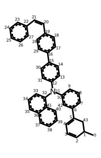 CC1C=CC=C(c2cccc(N(c3ccc(-c4ccc(/C=C\c5ccccc5)cc4)cc3)c3cccc4ccccc34)c2)C1